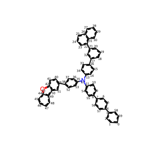 c1ccc(-c2ccc(-c3ccc(N(c4ccc(-c5cccc(-c6cccc7ccccc67)c5)cc4)c4ccc(-c5ccc6oc7ccccc7c6c5)cc4)cc3)cc2)cc1